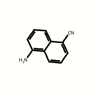 N#Cc1cccc2c(N)cccc12